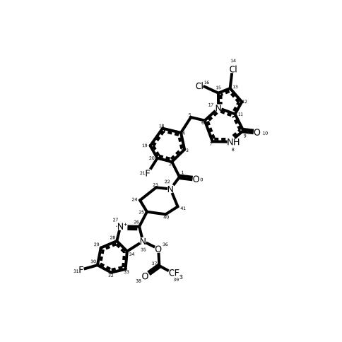 O=C(c1cc(Cc2c[nH]c(=O)c3cc(Cl)c(Cl)n23)ccc1F)N1CCC(C2=[N+]c3cc(F)ccc3N2OC(=O)C(F)(F)F)CC1